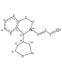 O=CC=CN1CCc2ccccc2C1C1CCCCC1